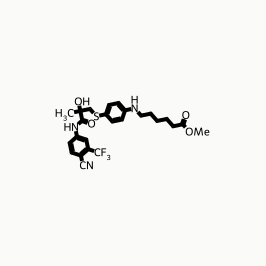 COC(=O)CCCCCNc1ccc(SCC(C)(O)C(=O)Nc2ccc(C#N)c(C(F)(F)F)c2)cc1